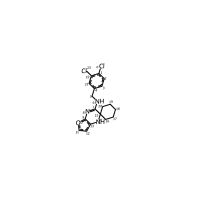 Clc1ccc(CNC2=Nc3occc3NC23CCCCC3)cc1Cl